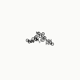 COc1nc(-c2cccc(-c3ccnc(-c4ccn5c(=O)c(CNCC6CCC(=O)N6)cnc5c4)c3Cl)c2Cl)ccc1CNCC1CCC(=O)N1